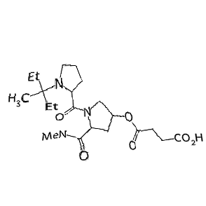 CCC(C)(CC)N1CCCC1C(=O)N1CC(OC(=O)CCC(=O)O)CC1C(=O)NC